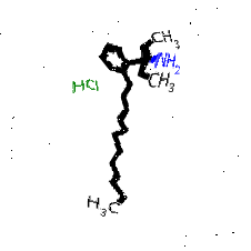 CCCCCCCCCCCCc1ccccc1C(N)(CC)CC.Cl